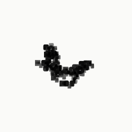 CN(OCC(=O)OC1C(=O)CCC1=O)C(=O)c1cc2c([n+](CCCS(=O)(=O)O)c1)N=C(/C=C/C=C/C=C1/N(CCCS(=O)(=O)O)c3ccc(S(C)(=O)=O)cc3C1(C)C)C2(C)C